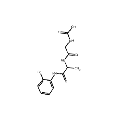 CC(NC(=O)CNC(=O)O)C(=O)Nc1ccccc1Br